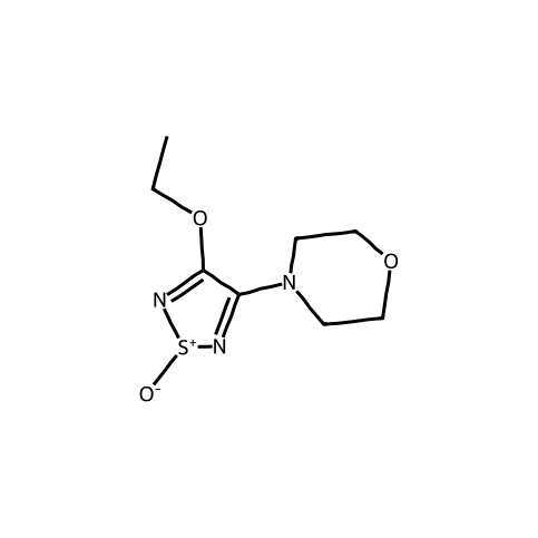 CCOc1n[s+]([O-])nc1N1CCOCC1